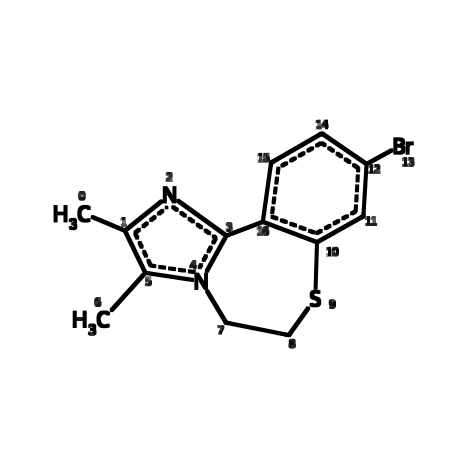 Cc1nc2n(c1C)CCSc1cc(Br)ccc1-2